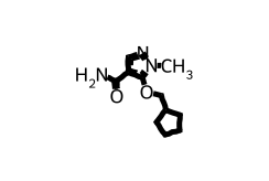 Cn1ncc(C(N)=O)c1OCC1CCCC1